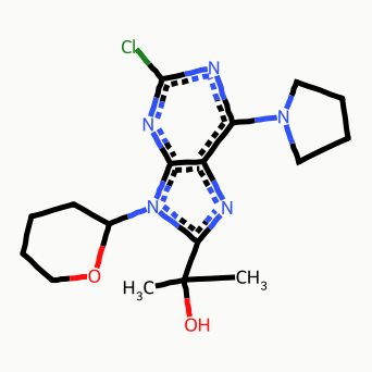 CC(C)(O)c1nc2c(N3CCCC3)nc(Cl)nc2n1C1CCCCO1